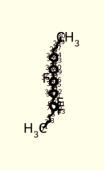 CC/C=C/CCc1ccc(-c2ccc(-c3ccc(C4CCC(C5CCC(CCCCC)CC5)CC4)c(F)c3)cc2)c(F)c1F